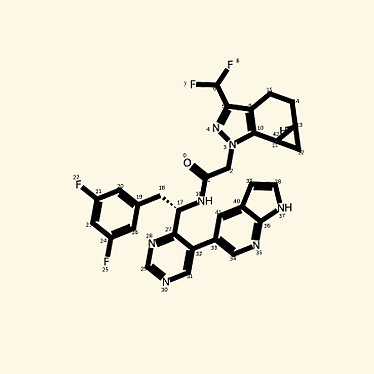 O=C(Cn1nc(C(F)F)c2c1C1C[C@H]1CC2)N[C@@H](Cc1cc(F)cc(F)c1)c1ncncc1-c1cnc2[nH]ccc2c1